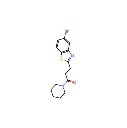 O=C(CCc1nc2cc(Br)ccc2s1)N1CCCCC1